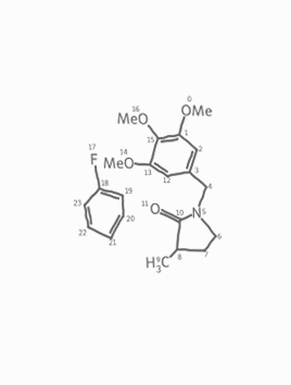 COc1cc(CN2CCC(C)C2=O)cc(OC)c1OC.Fc1ccccc1